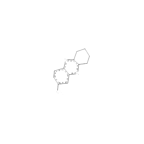 O=[N+]([O-])c1ccc2nc3c(nc2c1)CCCC3